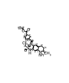 CCCN1c2cc(NS(=O)(=O)CC(F)(F)F)c(N=Nc3nnc(C(=O)OC(C)(C)C)s3)cc2CCC1C